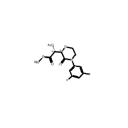 CC(=O)O[C@@H](C(=O)OC(C)(C)C)[C@H]1OCCN(c2cc(F)cc(F)c2)C1=O